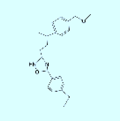 COCc1ccc(C(C)CCC2N=C(c3ccc(C(C)C)cc3)ON2)cc1